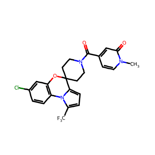 Cn1ccc(C(=O)N2CCC3(CC2)Oc2cc(Cl)ccc2-n2c(C(F)(F)F)ccc23)cc1=O